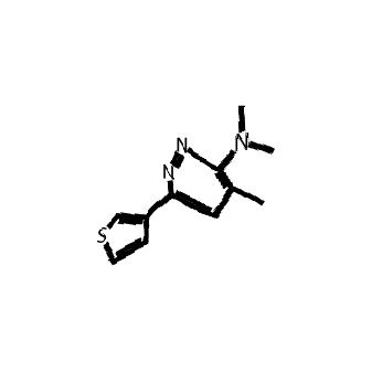 Cc1cc(-c2ccsc2)nnc1N(C)C